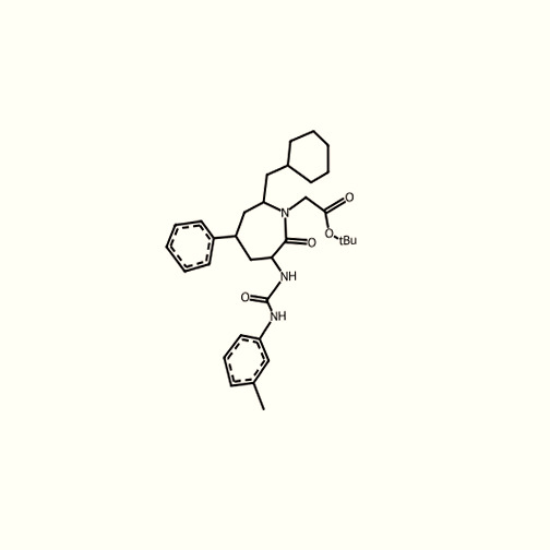 Cc1cccc(NC(=O)NC2CC(c3ccccc3)CC(CC3CCCCC3)N(CC(=O)OC(C)(C)C)C2=O)c1